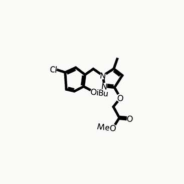 COC(=O)COc1cc(C)n(Cc2cc(Cl)ccc2OCC(C)C)n1